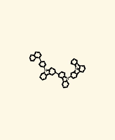 c1ccc2c(-c3ccc(-n4c5ccccc5c5cc(-c6ccc7c(c6)c6ccccc6n7-c6ccc7c8cccc9c%10ccccc%10n(c7c6)c98)ccc54)cc3)cccc2c1